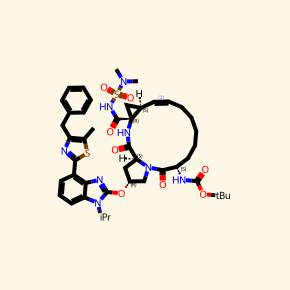 Cc1sc(-c2cccc3c2nc(O[C@@H]2C[C@H]4C(=O)N[C@]5(C(=O)NS(=O)(=O)N(C)C)C[C@H]5/C=C\CCCCC[C@H](NC(=O)OC(C)(C)C)C(=O)N4C2)n3C(C)C)nc1Cc1ccccc1